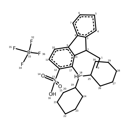 CCC1c2ccccc2-c2ccc(S(=O)(=O)O)c([PH+](C3CCCCC3)C3CCCCC3)c21.F[B-](F)(F)F